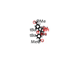 COC(=O)c1cc(C(C)(C)C)c(OC(c2c(C(C)(C)C)cc(C(=O)OC)cc2C(C)(C)C)C(CO)(CO)CO)c(C(C)(C)C)c1